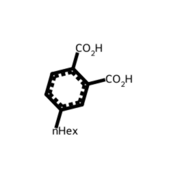 CCCCCCc1ccc(C(=O)O)c(C(=O)O)c1